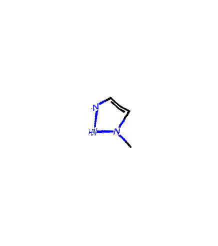 CN1C=C[N]N1